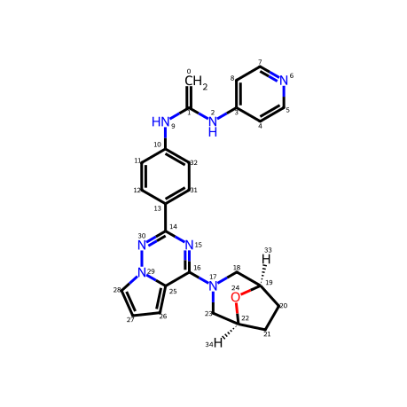 C=C(Nc1ccncc1)Nc1ccc(-c2nc(N3C[C@H]4CC[C@@H](C3)O4)c3cccn3n2)cc1